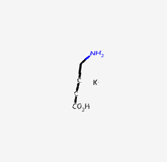 NCCCC(=O)O.[K]